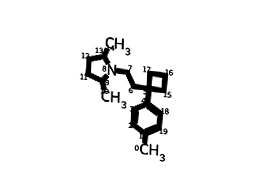 Cc1ccc(C2(CCN3C(C)CCC3C)CCC2)cc1